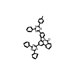 Cc1ccc(-c2nc(-c3ccccc3)nc(-c3ccc4c(c3)c3cc(-c5nc(-c6ccccc6)nc(-c6ccccc6)n5)cc5c6ccccc6c(=O)n4c53)n2)cc1